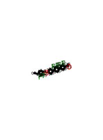 CCCc1ccc(COC2CCC(c3ccc(-c4ccc(C5CO5)c(F)c4F)c(F)c3F)CC2)c(F)c1F